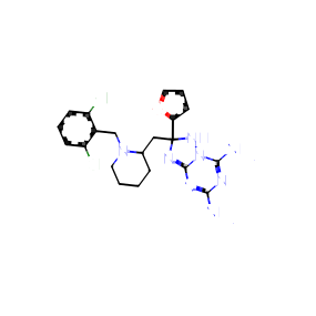 NC1=NC2=NC(CC3CCCCN3Cc3c(Cl)cccc3Cl)(c3ccco3)NN2C(N)=N1